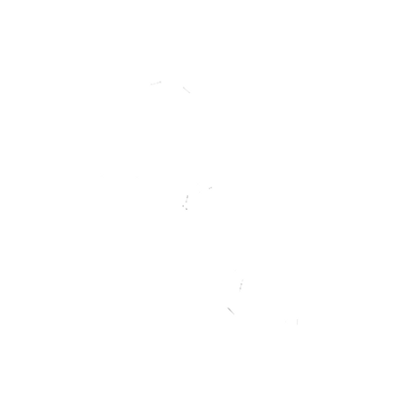 CCCCC/C=C\C/C=C\CCCCCCCCC(CCCCCCCC/C=C\C/C=C\CCCCC)C(C)(CCCC(C)CC)C(=N)CCCCCCCC